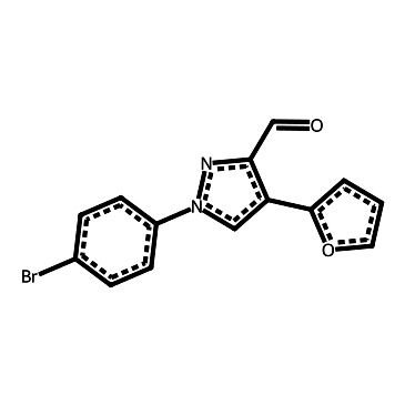 O=Cc1nn(-c2ccc(Br)cc2)cc1-c1ccco1